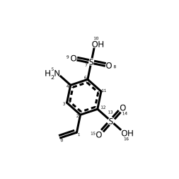 C=Cc1cc(N)c(S(=O)(=O)O)cc1S(=O)(=O)O